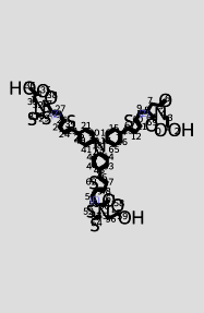 O=C(O)CN1C(=O)C/C(=C/c2ccc(-c3ccc(N(c4ccc(-c5ccc(/C=C6\SC(=S)N(CC(=O)O)C6=O)s5)cc4)c4ccc(-c5ccc(/C=C6/SC(=S)N(CC(=O)O)C6=O)s5)cc4)cc3)s2)C1=O